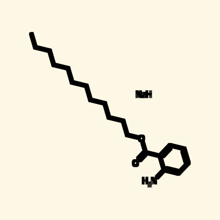 CCCCCCCCCCCCOC(=O)c1ccccc1N.[NaH]